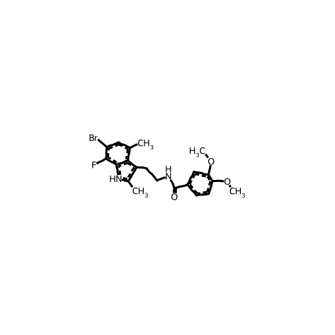 COc1ccc(C(=O)NCCc2c(C)[nH]c3c(F)c(Br)cc(C)c23)cc1OC